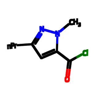 CCCc1cc(C(=O)Cl)n(C)n1